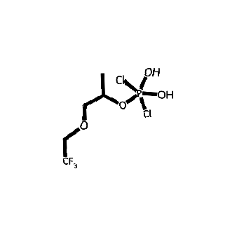 CC(COCC(F)(F)F)OP(O)(O)(Cl)Cl